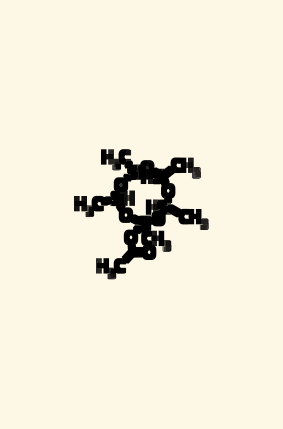 CC(=O)O[Si]1(C)O[SiH](C)O[SiH](C)O[SiH](C)O[SiH](C)O1